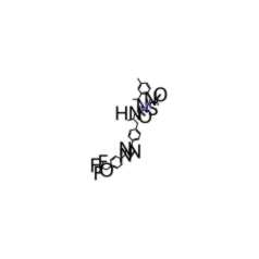 CCc1cc(C)ccc1N1C(=O)CS/C1=N\C(=O)NC(C)Cc1ccc(-c2ncn(-c3ccc(OC(F)(F)F)cc3)n2)cc1